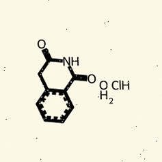 Cl.O.O=C1Cc2ccccc2C(=O)N1